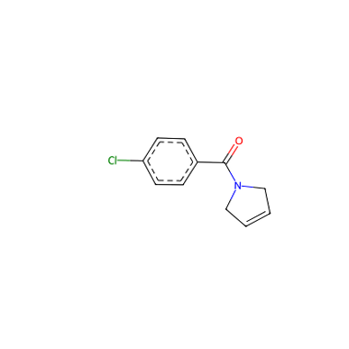 O=C(c1ccc(Cl)cc1)N1CC=CC1